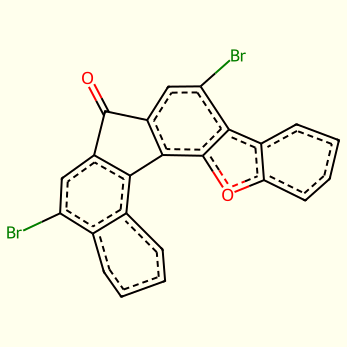 O=C1c2cc(Br)c3ccccc3c2-c2c1cc(Br)c1c2oc2ccccc21